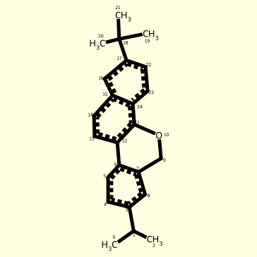 CC(C)c1ccc2c(c1)COc1c-2ccc2cc(C(C)(C)C)ccc12